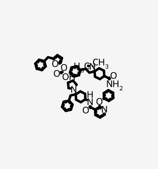 CN(C)C1(CCc2ccccc2)CCC(C(N)=O)CC1.O=C(NC1CCC(Cc2ccccc2)(N2CCCC2)CC1)c1cccnc1Oc1ccccc1.O=C(O)Oc1ccc(Cc2ccccc2)o1